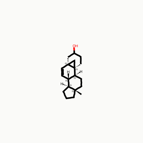 C[C@@]12CCC[C@H]1[C@@H]1C=C[C@]34CC(O)CC[C@]3(C4)[C@H]1CC2